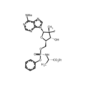 CCOC(=O)[C@H](C)N[P@](=O)(OC[C@H]1O[C@@H](n2cnc3c(NC)ncnc32)[C@](C)(F)[C@@H]1O)Oc1ccccc1